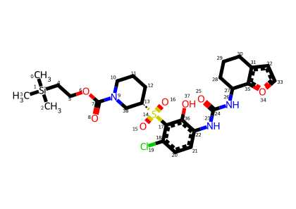 C[Si](C)(C)CCOC(=O)N1CCC[C@H](S(=O)(=O)c2c(Cl)ccc(NC(=O)NC3CCCc4ccoc43)c2O)C1